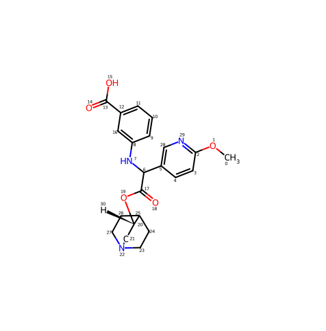 COc1ccc(C(Nc2cccc(C(=O)O)c2)C(=O)O[C@H]2CN3CCC2CC3)cn1